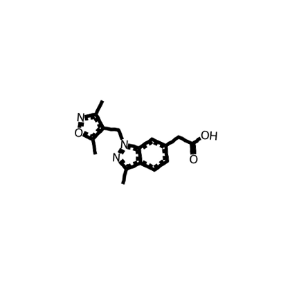 Cc1noc(C)c1Cn1nc(C)c2ccc(CC(=O)O)cc21